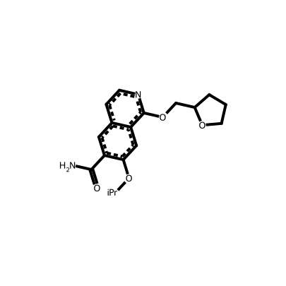 CC(C)Oc1cc2c(OCC3CCCO3)nccc2cc1C(N)=O